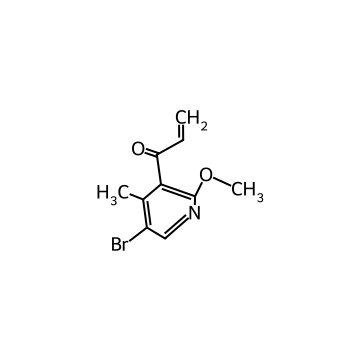 C=CC(=O)c1c(OC)ncc(Br)c1C